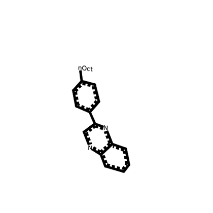 CCCCCCCCc1ccc(-c2cnc3ccccc3n2)cc1